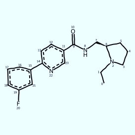 CCN1CCC[C@@H]1CNC(=O)c1ccc(-c2cccc(F)c2)nc1